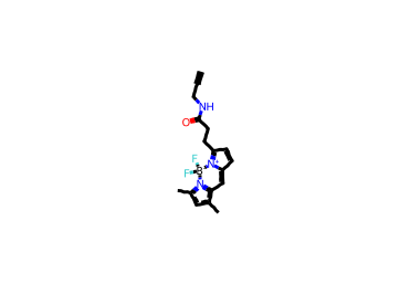 C#CCNC(=O)CCC1=[N+]2C(=Cc3c(C)cc(C)n3[B-]2(F)F)C=C1